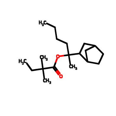 CCCCC(C)(OC(=O)C(C)(C)CC)C1CC2CCC1C2